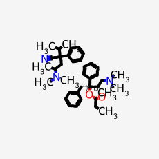 CC(CC(C#N)(c1ccccc1)C(C)C)N(C)C.CCC(=O)O[C@@](Cc1ccccc1)(c1ccccc1)[C@@H](C)CN(C)C